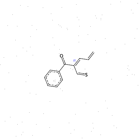 C=C/C=C(\C=S)C(=O)c1ccccc1